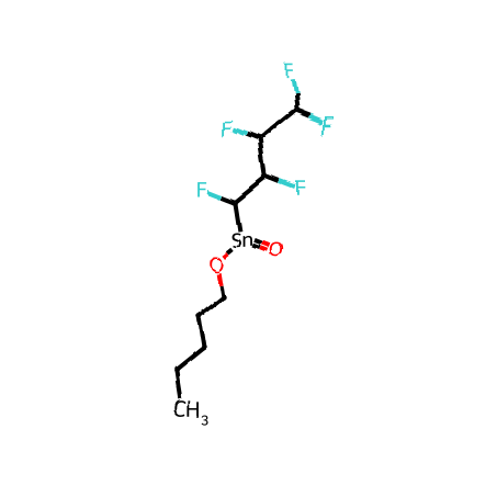 CCCCC[O][Sn](=[O])[CH](F)C(F)C(F)C(F)F